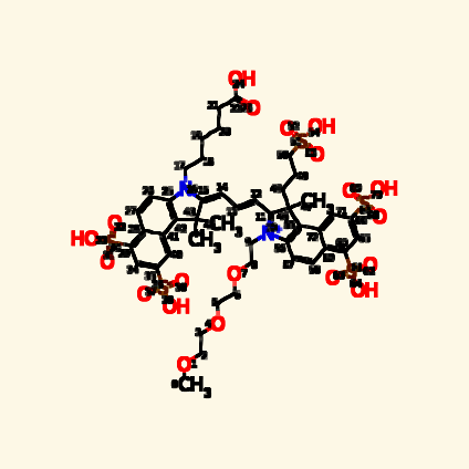 COCCOCCOCC[N+]1=C(/C=C/C=C2/N(CCCCCC(=O)O)c3ccc4c(S(=O)(=O)O)cc(S(=O)(=O)O)cc4c3C2(C)C)C(C)(CCCS(=O)(=O)O)c2c1ccc1c(S(=O)(=O)O)cc(S(=O)(=O)O)cc21